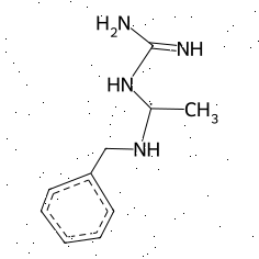 C[C](NCc1ccccc1)NC(=N)N